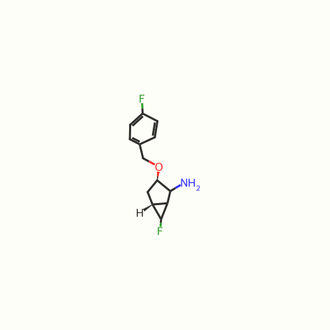 NC1C2C(F)[C@@H]2C[C@H]1OCc1ccc(F)cc1